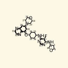 Fc1c(NC2CCOC2)ncnc1N[C@H]1CC[C@@H](Oc2cc(N3CCOCC3)cc3nccnc23)CC1